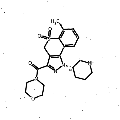 Cc1cccc2c1S(=O)(=O)Cc1c(C(=O)N3CCOCC3)nn([C@H]3CCCNC3)c1-2